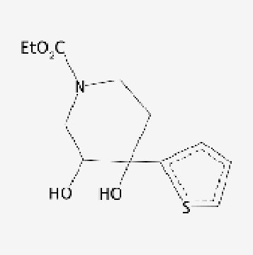 CCOC(=O)N1CCC(O)(c2cccs2)C(O)C1